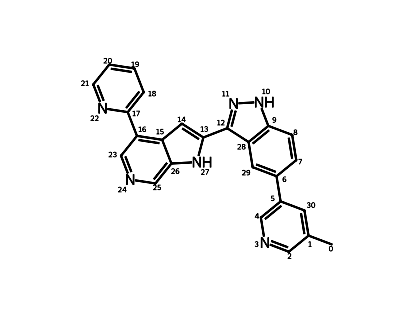 Cc1cncc(-c2ccc3[nH]nc(-c4cc5c(-c6ccccn6)cncc5[nH]4)c3c2)c1